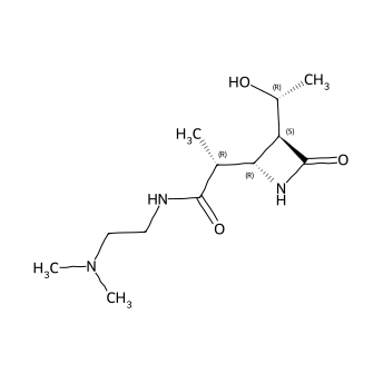 C[C@@H](O)[C@H]1C(=O)N[C@@H]1[C@@H](C)C(=O)NCCN(C)C